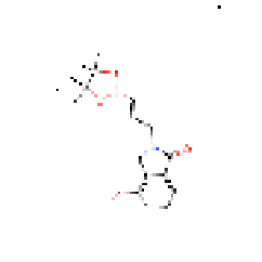 CC1(C)OB(C=CCN2Cc3c(Br)cccc3C2=O)OC1(C)C